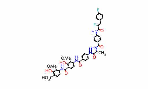 COc1c(NC(=O)c2ccc(NC(=O)c3ccc(NC(=O)[C@H](C)NC(=O)c4ccc(NC(=O)/C(F)=C/c5ccc(F)cc5)cc4)cc3)c(OC)c2O)ccc(C(=O)O)c1O